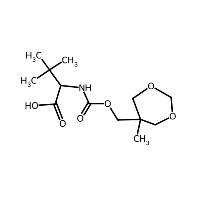 CC1(COC(=O)NC(C(=O)O)C(C)(C)C)COCOC1